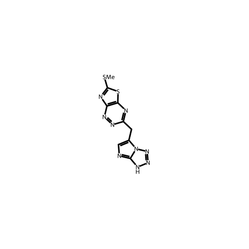 CSc1nc2nnc(Cc3cnc4[nH]nnn34)nc2s1